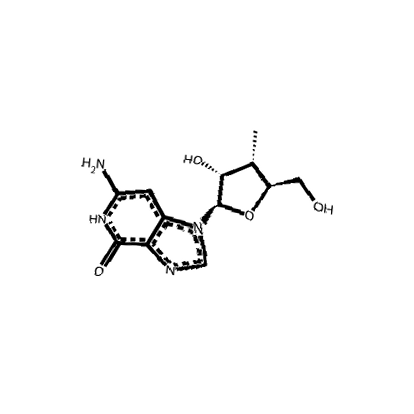 C[C@H]1[C@@H](O)[C@H](n2cnc3c(=O)[nH]c(N)cc32)O[C@@H]1CO